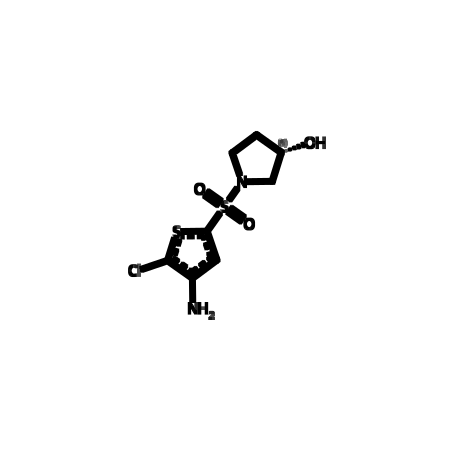 Nc1cc(S(=O)(=O)N2CC[C@H](O)C2)sc1Cl